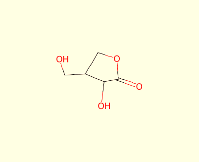 O=C1OCC(CO)C1O